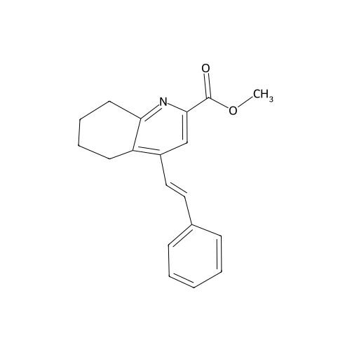 COC(=O)c1cc(/C=C/c2ccccc2)c2c(n1)CCCC2